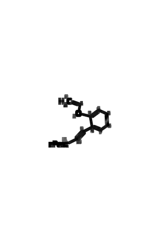 C=COc1ccccc1C#CCCCCC